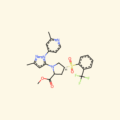 COC(=O)C1C[C@@H](S(=O)(=O)c2ccccc2C(F)(F)F)CN1c1cc(C)nn1-c1ccnc(C)c1